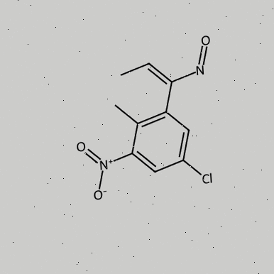 C/C=C(/N=O)c1cc(Cl)cc([N+](=O)[O-])c1C